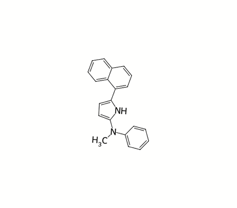 CN(c1ccccc1)c1ccc(-c2cccc3ccccc23)[nH]1